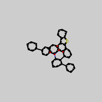 c1ccc(-c2ccc(N(c3ccc4sc5ccccc5c4c3)c3cccc(-c4ccccc4)c3-c3ccccc3-c3ccccc3)cc2)cc1